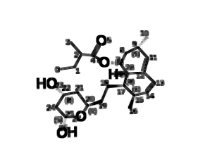 CCC(C)C(=O)O[C@@H]1C[C@H](C)C=C2C=C[C@@H](C)[C@@H](CC[C@@H]3C[C@@H](O)C[C@@H](O)O3)[C@@H]21